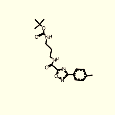 Cc1ccc(-c2noc(C(=O)NCCCNC(=O)OC(C)(C)C)n2)cc1